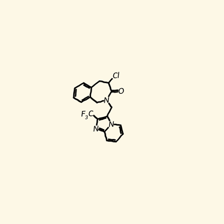 O=C1C(Cl)Cc2ccccc2CN1Cc1c(C(F)(F)F)nc2ccccn12